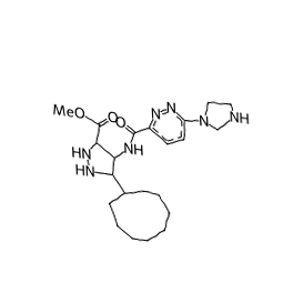 COC(=O)C1NNC(C2CCCCCCCC2)C1NC(=O)c1ccc(N2CCNC2)nn1